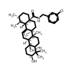 C[C@H]1[C@H](C)CC[C@]2(C(=O)NCc3cccc(Cl)c3)CC[C@]3(C)C(=CC[C@@H]4[C@@]5(C)CC[C@H](O)C(C)(C)[C@@H]5CC[C@]43C)[C@H]12